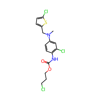 CN(Cc1ccc(Cl)s1)c1ccc(NC(=O)OCCCCl)c(Cl)c1